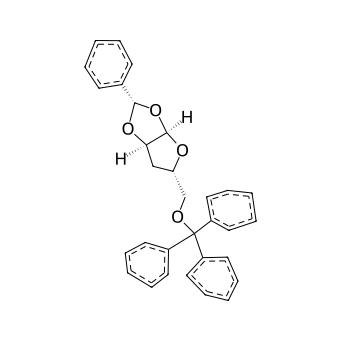 c1ccc([C@@H]2O[C@H]3O[C@H](COC(c4ccccc4)(c4ccccc4)c4ccccc4)C[C@H]3O2)cc1